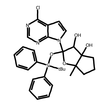 CC12CCCC1(O)C(O)C(O[Si](c1ccccc1)(c1ccccc1)C(C)(C)C)(n1ccc3c(Cl)ncnc31)O2